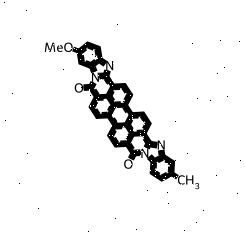 COc1ccc2nc3c4ccc5c6ccc7c8c(ccc(c9ccc(c(=O)n3c2c1)c4c95)c68)c(=O)n1c2ccc(C)cc2nc71